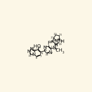 CN(c1cnc(-c2ccn3cnnc3c2O)cn1)[C@H]1C[C@@H]2CCC(N2)[C@H]1F